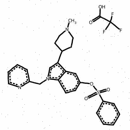 CN1CCC(c2cn(Cc3ccccn3)c3ccc(OS(=O)(=O)c4ccccc4)cc23)CC1.O=C(O)C(F)(F)F